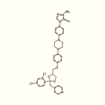 CCC(C)n1ncn(-c2ccc(N3CCN(c4ccc(OCC5COC(Cc6ccncc6)(c6ccc(Cl)cc6Cl)O5)cc4)CC3)cc2)c1=O